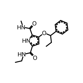 CCNC(=O)c1cc(OC(CC)c2ccccc2)c(C(=O)NC)[nH]1